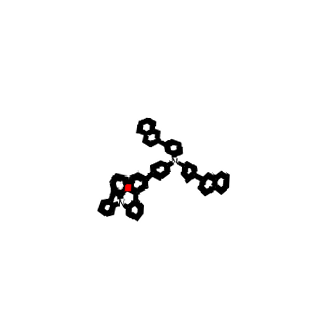 c1cc(-c2ccc(N(c3ccc(-c4ccc5ccccc5c4)cc3)c3cccc(-c4ccc5ccccc5c4)c3)cc2)cc(-c2ccccc2-n2c3ccccc3c3ccccc32)c1